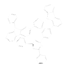 c1ccc(-c2cc(-c3ccccc3)nc(-c3ccc(-c4cccc5c6ccccc6n(-c6ccc(-c7ccc8c9ccccc9n(-c9ccccc9)c8c7)cc6)c45)cc3)n2)cc1